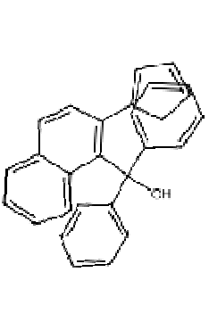 OC(c1ccccc1)(c1ccccc1)c1c(C2=CC=CC2)ccc2ccccc12